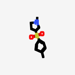 Cc1ccc(S(=O)(=O)C2CCN(C)C2)cc1